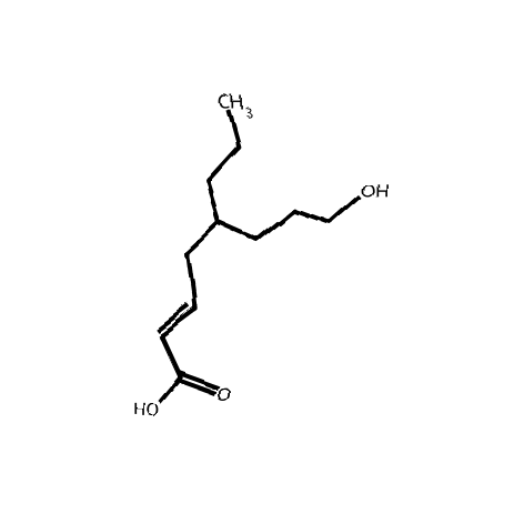 CCCC(C/C=C/C(=O)O)CCCO